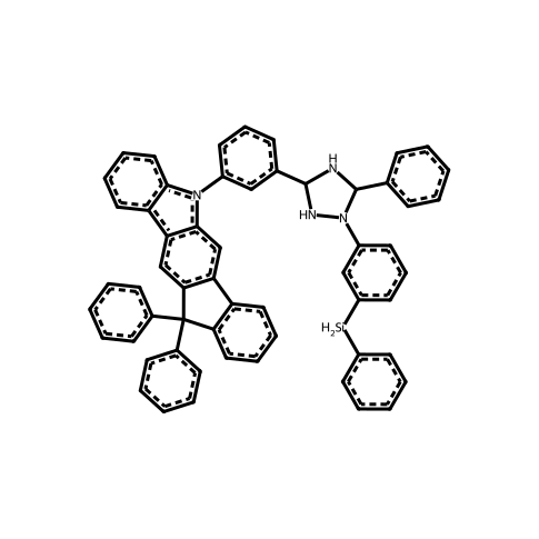 c1ccc([SiH2]c2cccc(N3NC(c4cccc(-n5c6ccccc6c6cc7c(cc65)-c5ccccc5C7(c5ccccc5)c5ccccc5)c4)NC3c3ccccc3)c2)cc1